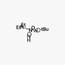 CCN(CC)CCCCN(C(=O)CN1CCC(C(C)(C)C)CC1)C1CCNCC1